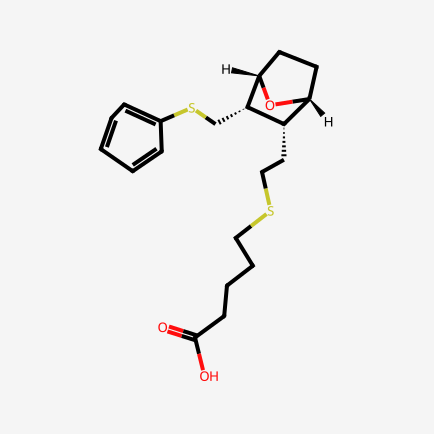 O=C(O)CCCCSCC[C@@H]1[C@H](CSc2ccccc2)[C@@H]2CC[C@H]1O2